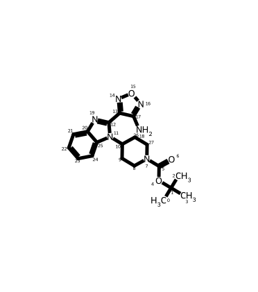 CC(C)(C)OC(=O)N1CCC(n2c(-c3nonc3N)nc3ccccc32)CC1